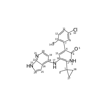 CC1(c2[nH]c(=O)c(-c3cc(Cl)ccc3F)cc2Nc2ccnc3[nH]ccc23)CC1